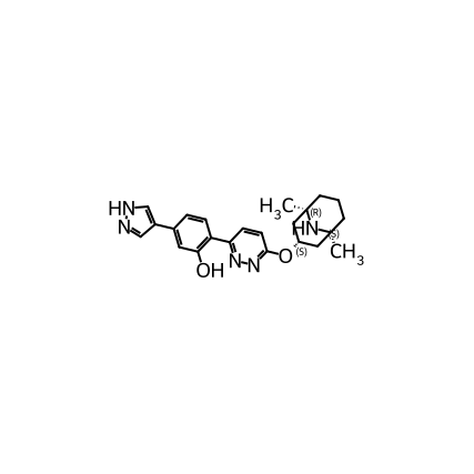 C[C@]12CCC[C@](C)(C[C@@H](Oc3ccc(-c4ccc(-c5cn[nH]c5)cc4O)nn3)C1)N2